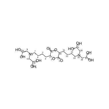 O=C1OC(CCCCN(CC(O)O)CC(O)O)C(=O)OC1CCCCN(CC(O)O)CC(O)O